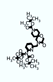 CC(C)(C)OC(=O)N1CCC2(CC1)CN(Cc1cccc(N(C(=O)OC(C)(C)C)C(=O)OC(C)(C)C)n1)C(=O)CO2